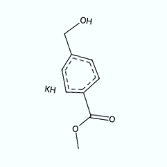 COC(=O)c1ccc(CO)cc1.[KH]